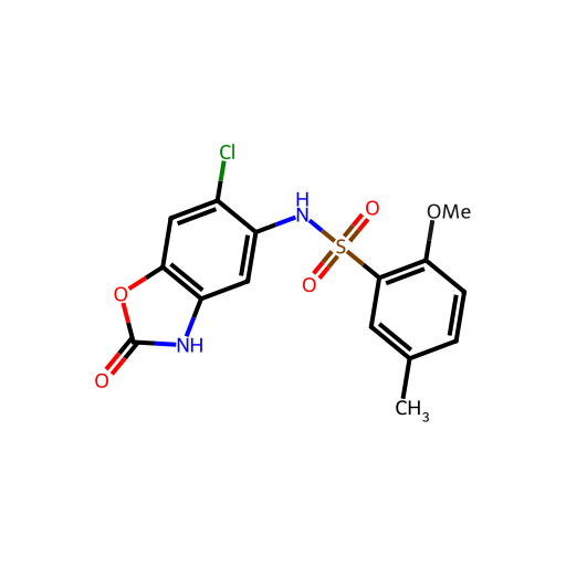 COc1ccc(C)cc1S(=O)(=O)Nc1cc2[nH]c(=O)oc2cc1Cl